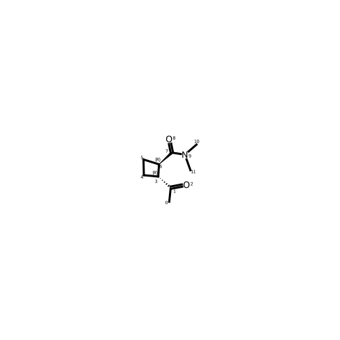 CC(=O)[C@@H]1CC[C@H]1C(=O)N(C)C